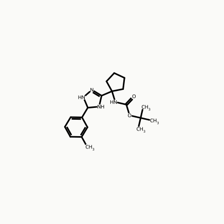 Cc1cccc(C2NN=C(C3(NC(=O)OC(C)(C)C)CCCC3)N2)c1